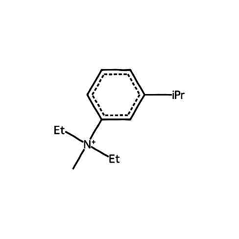 CC[N+](C)(CC)c1cccc(C(C)C)c1